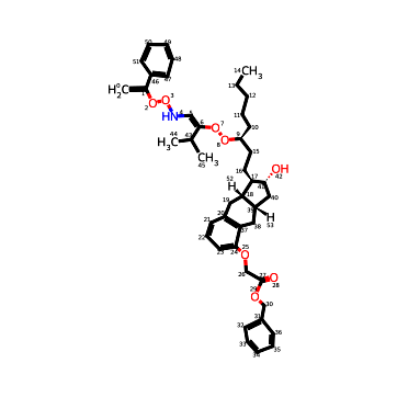 C=C(OON/C=C(/OO[C@@H](CCCCC)CC[C@@H]1[C@H]2Cc3cccc(OCC(=O)OCc4ccccc4)c3C[C@H]2C[C@H]1O)C(C)C)c1ccccc1